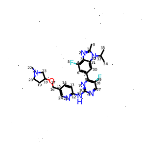 Cc1nc2c(F)cc(-c3nc(Nc4ccc(COC5CCN(C)C5)cn4)ncc3F)cc2n1C(C)C